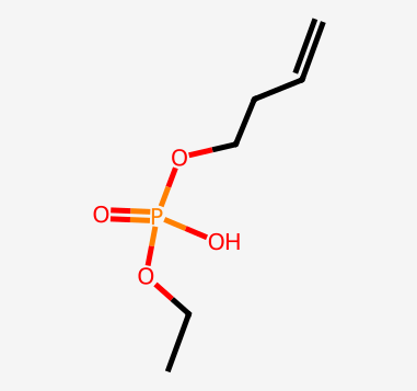 C=CCCOP(=O)(O)OCC